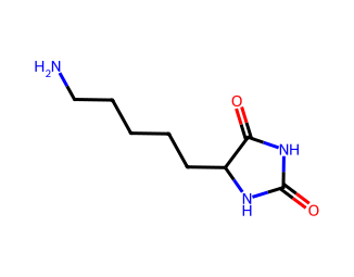 NCCCCCC1NC(=O)NC1=O